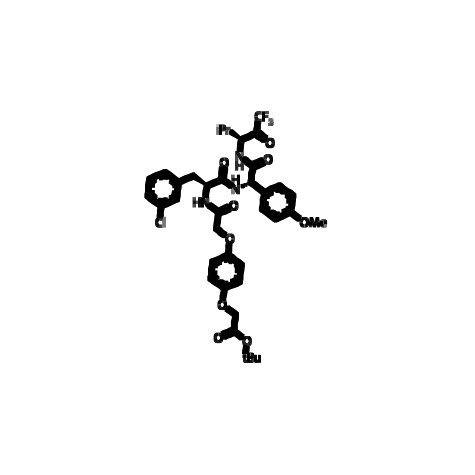 COc1ccc([C@H](NC(=O)[C@H](Cc2cccc(Cl)c2)NC(=O)COc2ccc(OCC(=O)OC(C)(C)C)cc2)C(=O)N[C@H](C(=O)C(F)(F)F)C(C)C)cc1